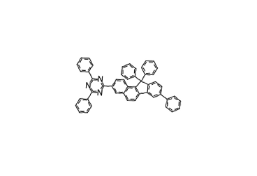 c1ccc(-c2ccc3c(c2)-c2ccc4cc(-c5nc(-c6ccccc6)nc(-c6ccccc6)n5)ccc4c2C3(c2ccccc2)c2ccccc2)cc1